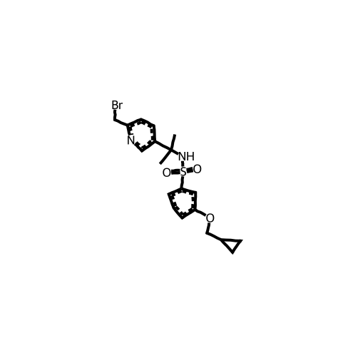 CC(C)(NS(=O)(=O)c1cccc(OCC2CC2)c1)c1ccc(CBr)nc1